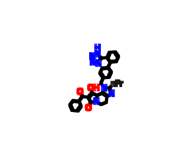 CCCc1nc2c(n1Cc1ccc(-c3ccccc3-c3nnn[nH]3)cc1)C1C(O)=C(C(=O)c3ccccc3)C(=O)N1CC2